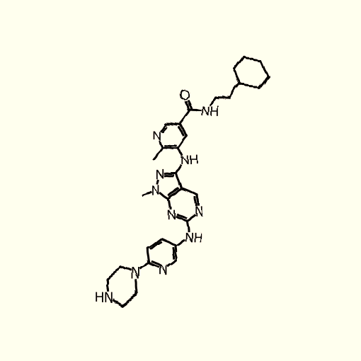 Cc1ncc(C(=O)NCCC2CCCCC2)cc1Nc1nn(C)c2nc(Nc3ccc(N4CCNCC4)nc3)ncc12